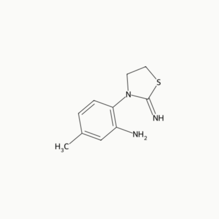 Cc1ccc(N2CCSC2=N)c(N)c1